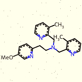 COc1ccc(CCN(Cc2ncccc2C)Cc2ncccc2C)nc1